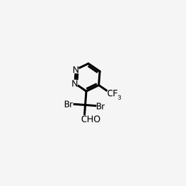 O=CC(Br)(Br)c1nnccc1C(F)(F)F